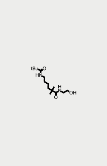 CC(C)(C)C(=O)NCCCCC(C)(C)C(=O)NCCO